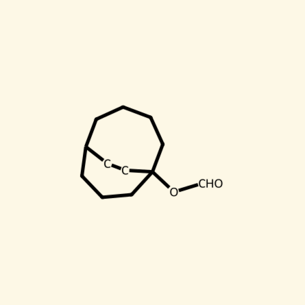 O=COC12CCCCC(CCC1)CC2